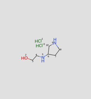 Cl.Cl.OCCNC1CCNC1